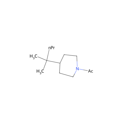 CCCC(C)(C)C1CCN(C(C)=O)CC1